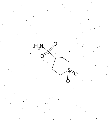 NS(=O)(=O)C1CCS(=O)(=O)CC1